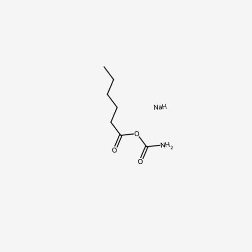 CCCCCC(=O)OC(N)=O.[NaH]